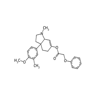 COc1ccc(C23CCC(OC(=O)COc4ccccc4)=CC2N(C)CC3)cc1C